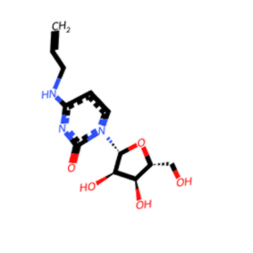 C=CCNc1ccn([C@@H]2O[C@H](CO)[C@@H](O)[C@H]2O)c(=O)n1